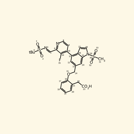 CC(C)(C)S(=O)(=O)N=Cc1nccc(-c2cc(COc3ccccc3CC(=O)O)cc3c2ccn3S(C)(=O)=O)c1F